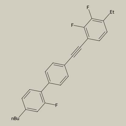 CCCCc1ccc(-c2ccc(C#Cc3ccc(CC)c(F)c3F)cc2)c(F)c1